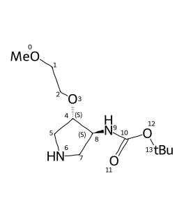 COCCO[C@H]1CNC[C@@H]1NC(=O)OC(C)(C)C